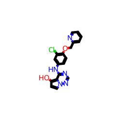 Oc1ccn2ncnc(Nc3ccc(OCc4ccccn4)c(Cl)c3)c12